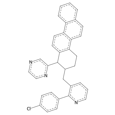 Clc1ccc(-c2ncccc2CC2CCc3c(ccc4c3ccc3ccccc34)C2c2cnccn2)cc1